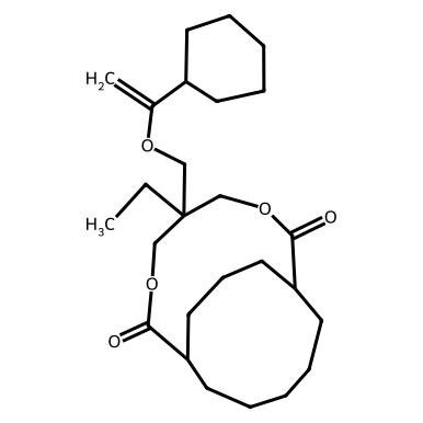 C=C(OCC1(CC)COC(=O)C2CCCCCC(CCC2)C(=O)OC1)C1CCCCC1